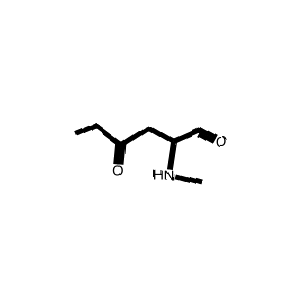 CCC(=O)CC(C=O)NC